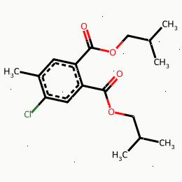 Cc1cc(C(=O)OCC(C)C)c(C(=O)OCC(C)C)cc1Cl